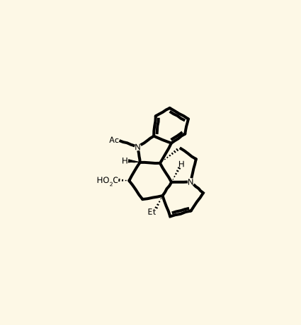 CC[C@]12C=CCN3CC[C@]4(c5ccccc5N(C(C)=O)[C@H]4[C@@H](C(=O)O)C1)[C@@H]32